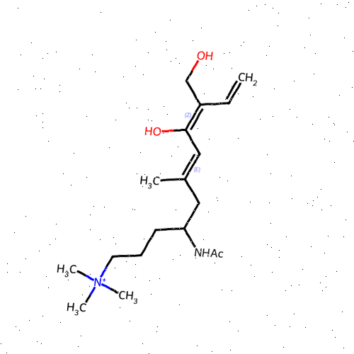 C=C/C(CO)=C(O)\C=C(/C)CC(CCC[N+](C)(C)C)NC(C)=O